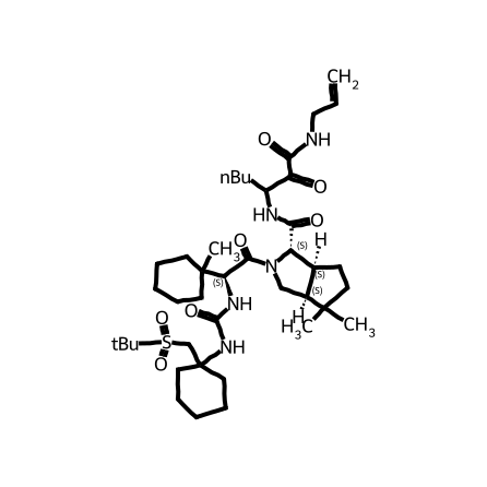 C=CCNC(=O)C(=O)C(CCCC)NC(=O)[C@@H]1[C@H]2CCC(C)(C)[C@H]2CN1C(=O)[C@@H](NC(=O)NC1(CS(=O)(=O)C(C)(C)C)CCCCC1)C1(C)CCCCC1